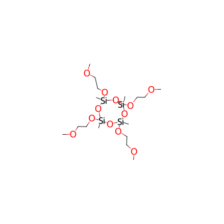 COCCO[Si]1(C)O[Si](C)(OCCOC)O[Si](C)(OCCOC)O[Si](C)(OCCOC)O1